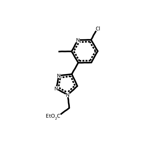 CCOC(=O)Cn1cc(-c2ccc(Cl)nc2C)nn1